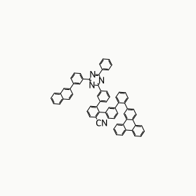 N#Cc1cccc(-c2cccc(-c3nc(-c4ccccc4)nc(-c4cccc(-c5ccc6ccccc6c5)c4)n3)c2)c1-c1cccc(-c2ccccc2-c2ccc3c4ccccc4c4ccccc4c3c2)c1